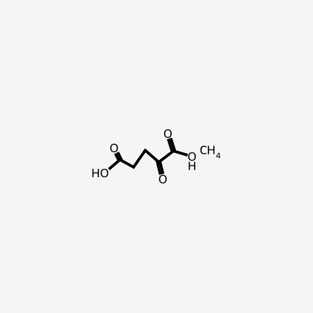 C.O=C(O)CCC(=O)C(=O)O